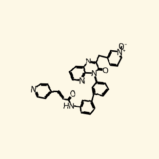 O=C(C=Cc1ccncc1)Nc1cccc(-c2cccc(-n3c(=O)c(Cc4ccc[n+]([O-])c4)nc4cccnc43)c2)c1